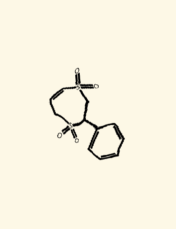 O=S1(=O)C=CCS(=O)(=O)C(c2ccccc2)C1